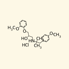 COc1ccc(CC(C)(C)NCC(O)COc2ccccc2OC)cc1.Cl